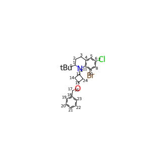 CC(C)(C)C1CCc2cc(Cl)cc(Br)c2N1[C@H]1C[C@@H](OCc2ccccc2)C1